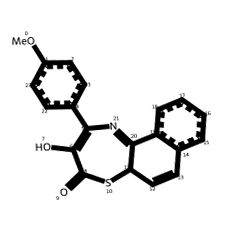 COc1ccc(C2=C(O)C(=O)SC3C=Cc4ccccc4C3=N2)cc1